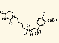 CC(C)COc1cc(C(C)(O)CNS(=O)(=O)CCCCN2CCC(=O)NC2=O)ccc1F